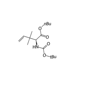 C=CC(C)(C)[C@H](NC(=O)OC(C)(C)C)C(=O)OCCCC